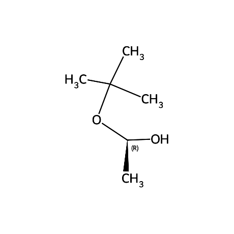 C[C@H](O)OC(C)(C)C